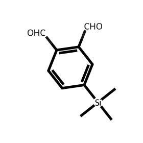 C[Si](C)(C)c1ccc(C=O)c(C=O)c1